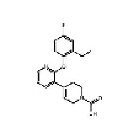 CCc1cc(F)ccc1Oc1ncccc1C1=CCN(C(=O)O)CC1